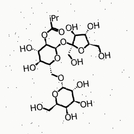 CC(C)C(=O)O[C@H]1[C@@H](O[C@]2(CO)O[C@H](CO)[C@@H](O)[C@@H]2O)O[C@H](CO[C@H]2O[C@H](CO)[C@H](O)[C@H](O)[C@H]2O)[C@@H](O)[C@@H]1O